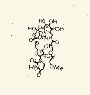 COCCOCCC(=O)NCC1O[C@H](OP(=O)(O)OP(=O)(O)OCC2OC(n3ccc(=O)[nH]c3=O)[C@H](O)[C@@H]2O)[C@@H](O)C(O)[C@H]1O